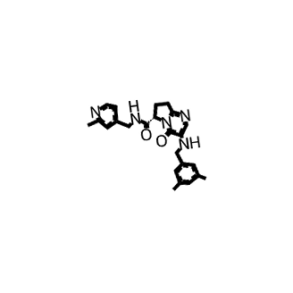 Cc1cc(C)cc(CNc2cnc3n(c2=O)[C@H](C(=O)NCc2ccnc(C)c2)CC3)c1